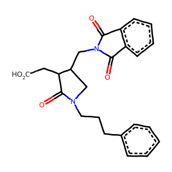 O=C(O)CC1C(=O)N(CCCc2ccccc2)CC1CN1C(=O)c2ccccc2C1=O